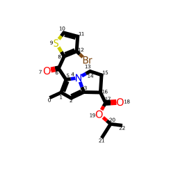 Cc1cc2n(c1C(=O)c1sccc1Br)CCC2C(=O)OC(C)C